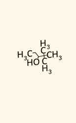 CC[C@H](O)C(C)(C)C